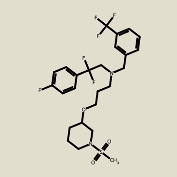 CS(=O)(=O)N1CCCC(OCCCN(Cc2cccc(C(F)(F)F)c2)CC(F)(F)c2ccc(F)cc2)C1